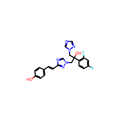 Oc1ccc(/C=C/c2ncn(CC(O)(Cn3cncn3)c3ccc(F)cc3F)n2)cc1